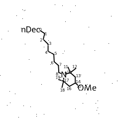 CCCCCCCCCCCCCCCCCCN1C(C)(C)CC(OC)CC1(C)C